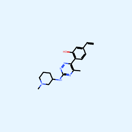 C=Cc1ccc(-c2nnc(NC3CCCN(C)C3)nc2C)c(O)c1